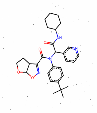 CC(C)(C)c1ccc(N(C(=O)C2=NOC3OCCC23)C(C(=O)NC2CCCCC2)c2cccnc2)cc1